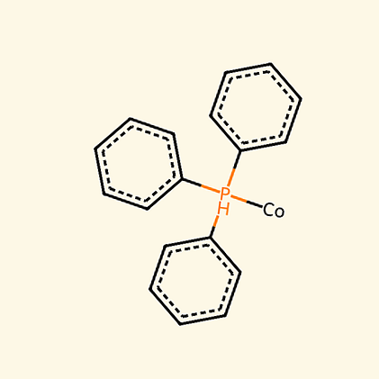 [Co][PH](c1ccccc1)(c1ccccc1)c1ccccc1